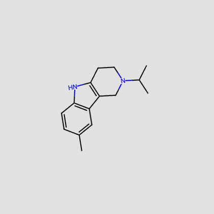 Cc1ccc2[nH]c3c(c2c1)CN(C(C)C)CC3